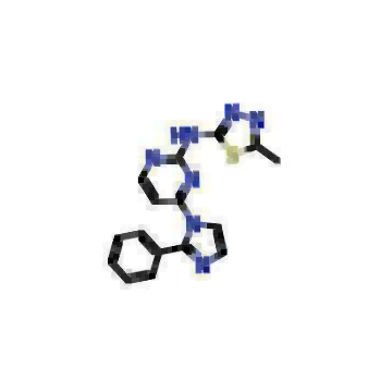 Cc1nnc(Nc2nccc(-n3ccnc3-c3ccccc3)n2)s1